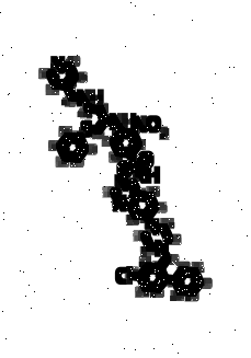 O=[N+]([O-])c1cc(S(=O)(=O)Nc2ncnc3cc(N4CCN(Cc5cc(Cl)ccc5-c5ccccc5)CC4)ccc23)ccc1NC(CCNCc1ccncc1)CSc1ccccc1